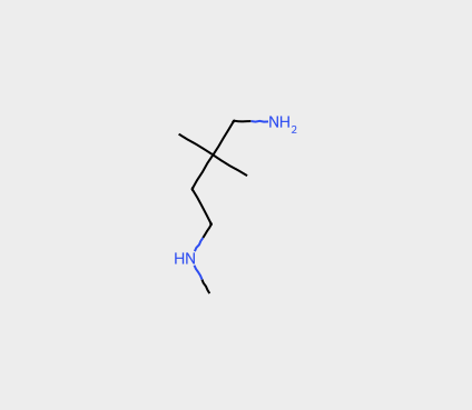 CNCCC(C)(C)CN